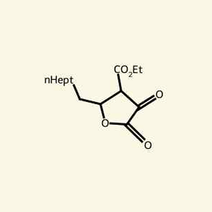 CCCCCCCCC1OC(=O)C(=O)C1C(=O)OCC